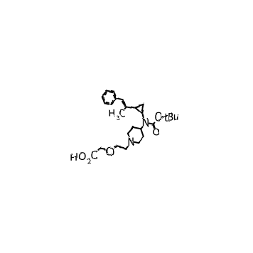 C/C(=C\c1ccccc1)C1CC1N(C(=O)OC(C)(C)C)C1CCN(CCOCC(=O)O)CC1